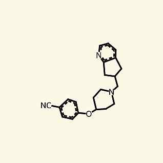 N#Cc1ccc(OC2CCN(CC3Cc4cccnc4C3)CC2)cc1